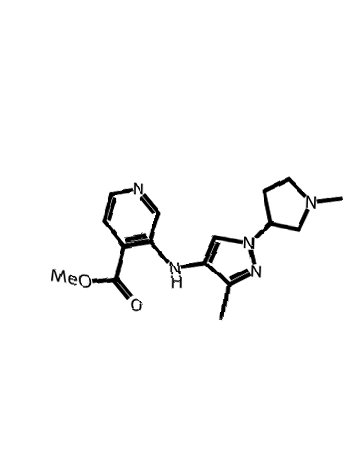 COC(=O)c1ccncc1Nc1cn(C2CCN(C)C2)nc1C